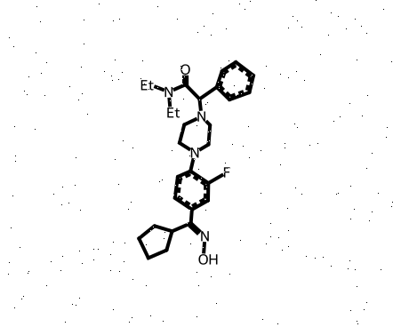 CCN(CC)C(=O)C(c1ccccc1)N1CCN(c2ccc(C(=NO)C3CCCC3)cc2F)CC1